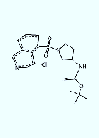 CC(C)(C)OC(=O)N[C@H]1CCN(S(=O)(=O)c2cccc3cncc(Cl)c23)C1